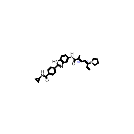 C=C/C(=C\C=C(/C)C(=O)Nc1ccc2[nH]c(-c3ccc(C(=O)NC4CC4)cc3)nc2c1)N1CCCC1